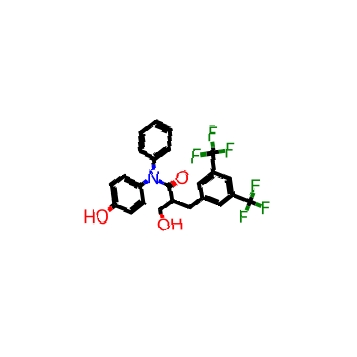 O=C(C(CO)Cc1cc(C(F)(F)F)cc(C(F)(F)F)c1)N(c1ccccc1)c1ccc(O)cc1